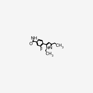 CCc1cc(-c2ccc(C(N)=O)cc2F)n(CC)n1